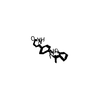 CC(=NNc1ccc(C2=NNC(=O)CC2)cc1)c1ccccc1C#N